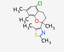 Cc1nc(C2(C)CCc3c(Cl)cc(C)c(C)c3O2)c(C)s1